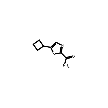 NC(=O)c1ncc(C2CCC2)s1